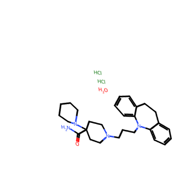 Cl.Cl.NC(=O)C1(N2CCCCC2)CCN(CCCN2c3ccccc3CCc3ccccc32)CC1.O